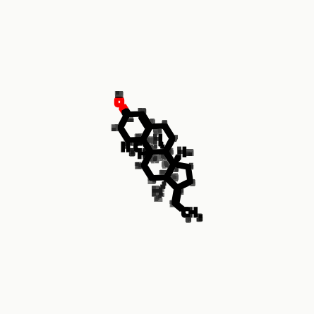 CC=C1CC[C@H]2[C@@H]3CCC4=CC(=O)CC[C@@]4(C)[C@@H]3CC[C@]12CC